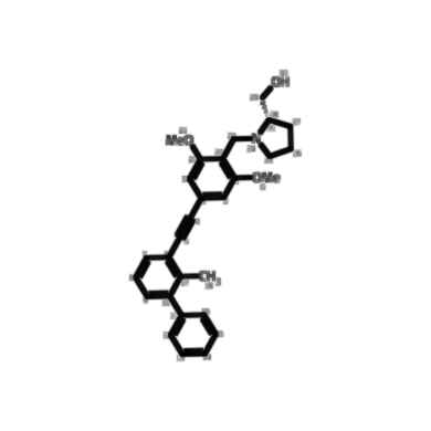 COc1cc(C#Cc2cccc(-c3ccccc3)c2C)cc(OC)c1CN1CCC[C@H]1CO